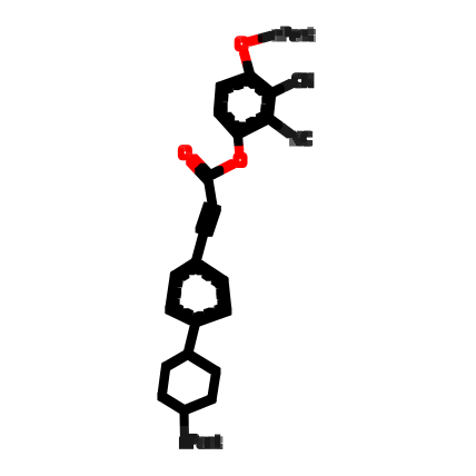 [C-]#[N+]c1c(OC(=O)C#Cc2ccc(C3CCC(CCCCC)CC3)cc2)ccc(OCCCCC)c1C#N